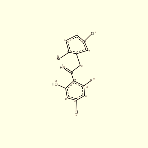 N=C(Cc1cc(Cl)ccc1Br)c1c(O)cc(Cl)cc1F